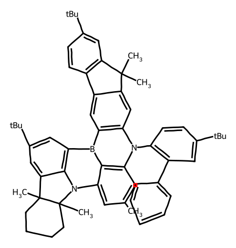 Cc1cc2c3c(c1)N1c4c(cc(C(C)(C)C)cc4C4(C)CCCCC14C)B3c1cc3c(cc1N2c1ccc(C(C)(C)C)cc1-c1ccccc1)C(C)(C)c1cc(C(C)(C)C)ccc1-3